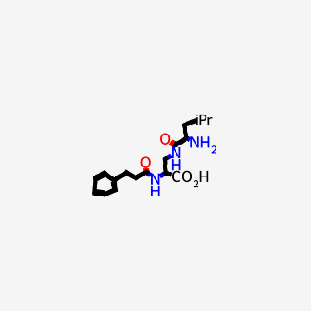 CC(C)CC(N)C(=O)NCC(NC(=O)CCc1ccccc1)C(=O)O